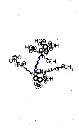 COCCOCCOCCOCCC1(C)\C(=C/C=C/C=C/C=C/C2=[N+](CCOC)c3ccc4c(S(=O)(=O)O)cc(S(=O)(=O)O)cc4c3C2(C)CCCS(=O)(=O)O)N(CCCCCC(=O)NCCN2C(=O)C=CC2=O)c2ccc3c(S(=O)(=O)[O-])cc(S(=O)(=O)O)cc3c21